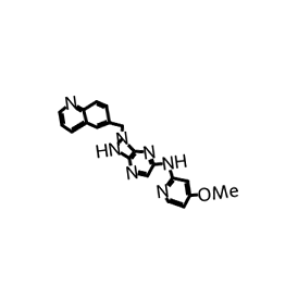 COc1ccnc(Nc2cnc3[nH]n(Cc4ccc5ncccc5c4)c3n2)c1